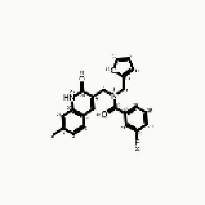 Cc1ccc2cc(CN(Cc3ccco3)C(=O)c3cccc(F)c3)c(=O)[nH]c2c1